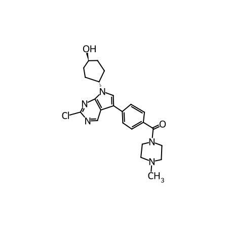 CN1CCN(C(=O)c2ccc(-c3cn([C@H]4CC[C@H](O)CC4)c4nc(Cl)ncc34)cc2)CC1